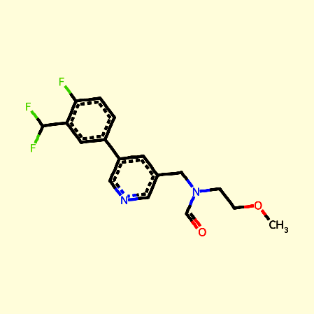 COCCN(C=O)Cc1cncc(-c2ccc(F)c(C(F)F)c2)c1